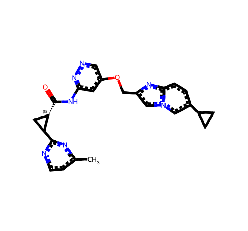 Cc1ccnc(C2C[C@@H]2C(=O)Nc2cc(OCc3cn4cc(C5CC5)ccc4n3)cnn2)n1